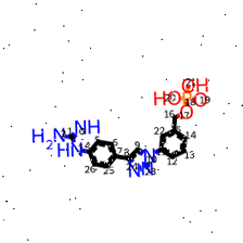 N=C(N)Nc1ccc(-c2cn(-c3cccc(COP(=O)(O)O)c3)nn2)cc1